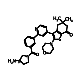 CC1(C)CC(=O)c2sc(N3CCOCC3)c(-c3ccnc(-c4cccc(C(=O)N5CC[C@@H](N)C5)c4)c3)c2C1